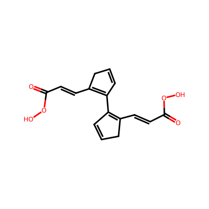 O=C(C=CC1=C(C2=C(C=CC(=O)OO)CC=C2)C=CC1)OO